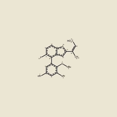 CCCCOc1c(CCC)cc(CCC)cc1-c1c(F)ccc2sc(/C(C)=C\C(=O)O)cc12